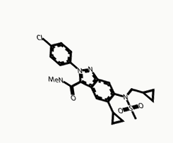 CNC(=O)c1c2cc(C3CC3)c(N(CC3CC3)S(C)(=O)=O)cc2nn1-c1ccc(Cl)cc1